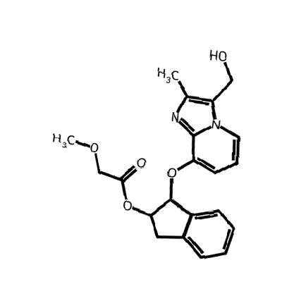 COCC(=O)OC1Cc2ccccc2C1Oc1cccn2c(CO)c(C)nc12